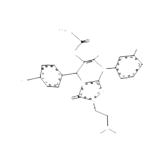 COC(=O)OC1=C(C)N(c2cccc(C(F)(F)F)c2)c2nn(CCN(C)C)c(=O)n2C1c1ccc(C#N)cc1